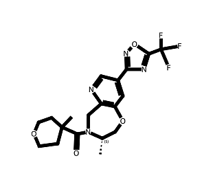 C[C@H]1COc2cc(-c3noc(C(F)(F)F)n3)cnc2CN1C(=O)C1(C)CCOCC1